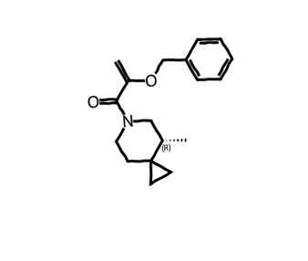 C=C(OCc1ccccc1)C(=O)N1CCC2(CC2)[C@@H](C)C1